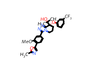 COc1cc(-c2nnc3n2CCC[C@]3(Oc2cccc(C(F)(F)F)c2)C(C)(C)O)ccc1-c1cnc(C)o1